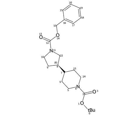 CC(C)(C)OC(=O)N1CCC([C@H]2CCN(C(=O)OCc3ccccc3)C2)CC1